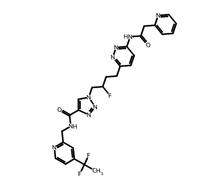 CC(F)(F)c1ccnc(CNC(=O)c2cn(CC(F)CCc3ccc(NC(=O)Cc4ccccn4)nn3)nn2)c1